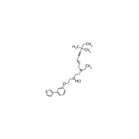 CCN(C/C=C/C#CC(C)(C)CC)CCOCCOc1cccc(-c2ccsc2)c1.Cl